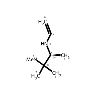 C=CN[C@@H](C)C(C)(C)NC